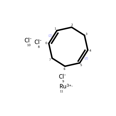 C1=C\CC/C=C\CC/1.[Cl-].[Cl-].[Cl-].[Ru+3]